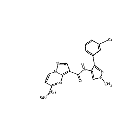 Cn1cc(NC(=O)c2cnn3ccc(NC(C)(C)C)nc23)c(-c2cccc(Cl)c2)n1